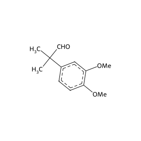 COc1ccc(C(C)(C)C=O)cc1OC